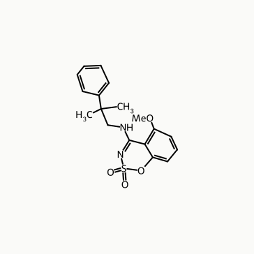 COc1cccc2c1C(NCC(C)(C)c1ccccc1)=NS(=O)(=O)O2